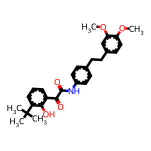 COc1ccc(CCc2ccc(NC(=O)C(=O)c3cccc(C(C)(C)C)c3O)cc2)cc1OC